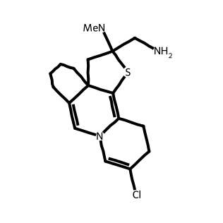 CNC1(CN)CC23CCCCC2=CN2C=C(Cl)CCC2=C3S1